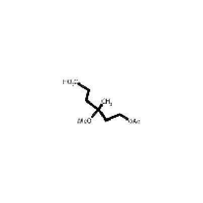 COC(C)(CCOC(C)=O)CCC(=O)O